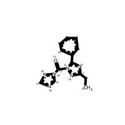 CCc1nc(-c2ccccc2)n(C(=O)n2cncn2)n1